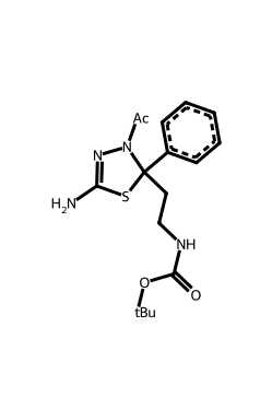 CC(=O)N1N=C(N)SC1(CCNC(=O)OC(C)(C)C)c1ccccc1